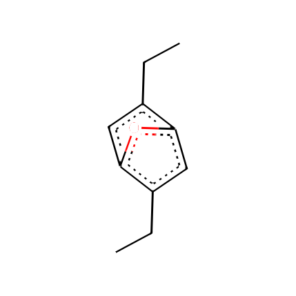 CCc1cc2oc1cc2CC